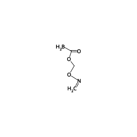 BC(=O)OCON=C